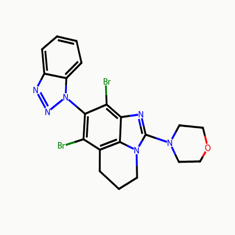 Brc1c(-n2nnc3ccccc32)c(Br)c2nc(N3CCOCC3)n3c2c1CCC3